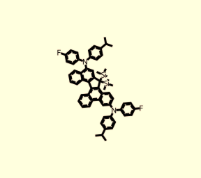 CC(C)c1ccc(N(c2ccc(F)cc2)c2ccc3c4c(c5ccccc5c3c2)-c2c(cc(N(c3ccc(F)cc3)c3ccc(C(C)C)cc3)c3ccccc23)C4([Si](C)(C)C)[Si](C)(C)C)cc1